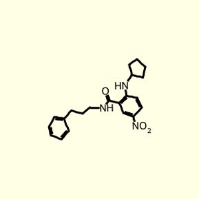 O=C(NCCCc1ccccc1)c1cc([N+](=O)[O-])ccc1NC1CCCC1